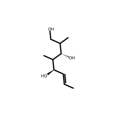 CC=C[C@@H](O)C(C)[C@@H](O)C(C)CO